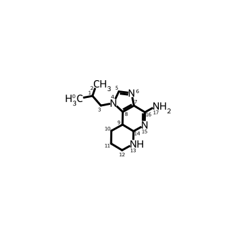 CC(C)Cn1cnc2c1C1CCCNC1N=C2N